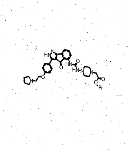 CC(C)OC(=O)CN1CCN(NC(=O)Nc2cccc3c2C(=O)c2c-3n[nH]c2-c2ccc(OCCN3CCCC3)cc2)CC1